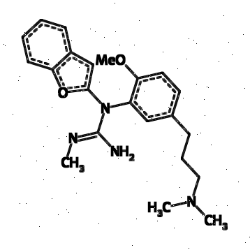 CN=C(N)N(c1cc2ccccc2o1)c1cc(CCCN(C)C)ccc1OC